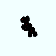 c1ccc(-c2ccccc2-n2c3ccccc3c3ccc(-c4ccc5c6ccccc6n(-c6cccc7cccc(-c8ccc9c(c8)C8(c%10ccccc%10-9)C9CC%10CC(C9)CC8C%10)c67)c5c4)cc32)cc1